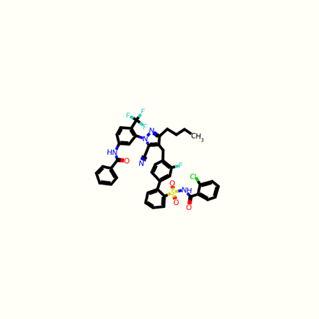 CCCCc1nn(-c2cc(NC(=O)c3ccccc3)ccc2C(F)(F)F)c(C#N)c1Cc1ccc(-c2ccccc2S(=O)(=O)NC(=O)c2ccccc2Cl)cc1F